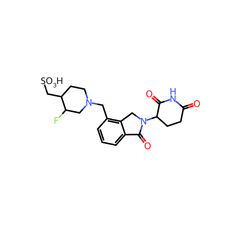 O=C1CCC(N2Cc3c(CN4CCC(CS(=O)(=O)O)C(F)C4)cccc3C2=O)C(=O)N1